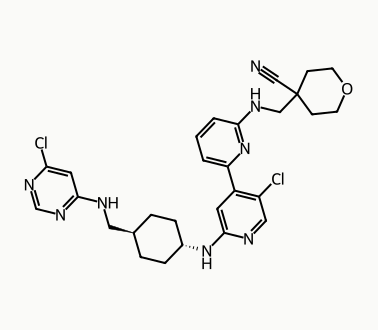 N#CC1(CNc2cccc(-c3cc(N[C@H]4CC[C@H](CNc5cc(Cl)ncn5)CC4)ncc3Cl)n2)CCOCC1